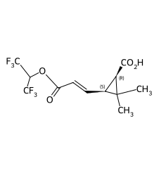 CC1(C)[C@H](C(=O)O)[C@@H]1C=CC(=O)OC(C(F)(F)F)C(F)(F)F